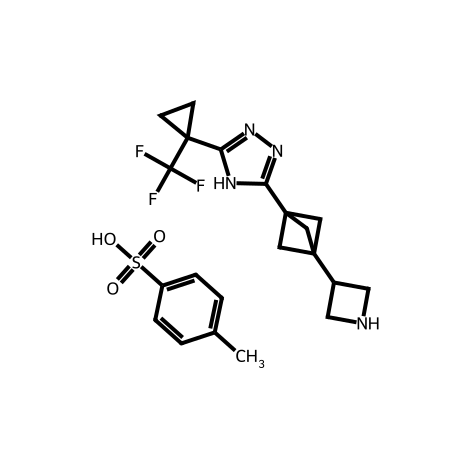 Cc1ccc(S(=O)(=O)O)cc1.FC(F)(F)C1(c2nnc(C34CC(C5CNC5)(C3)C4)[nH]2)CC1